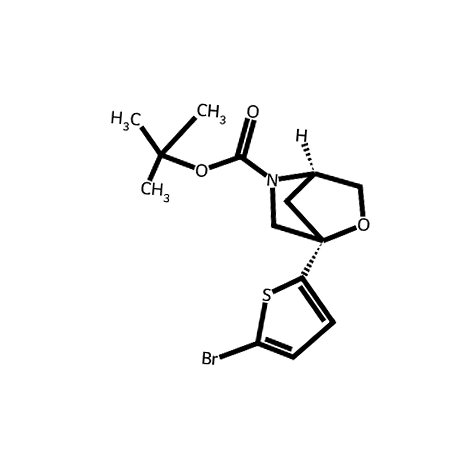 CC(C)(C)OC(=O)N1C[C@@]2(c3ccc(Br)s3)C[C@@H]1CO2